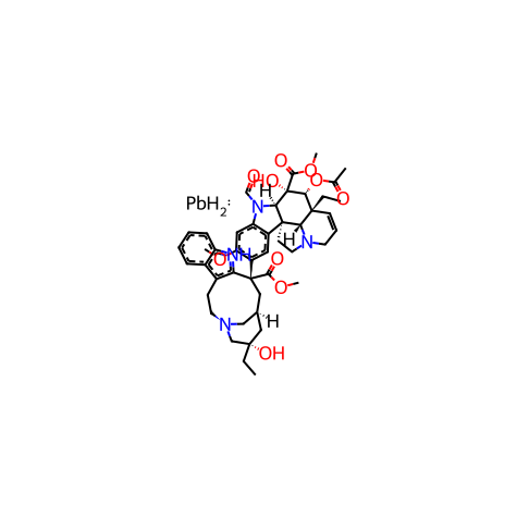 CC[C@]1(O)C[C@H]2C[N@](CCc3c([nH]c4ccccc34)[C@@](C(=O)OC)(c3cc4c(cc3OC)N(C=O)[C@H]3[C@@](O)(C(=O)OC)[C@H](OC(C)=O)[C@]5(CC)C=CCN6CC[C@]43[C@@H]65)C2)C1.[PbH2]